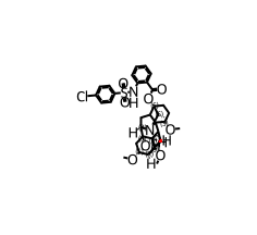 CO[C@H]1C[C@]2(O)[C@H]3CC4C5(C6C[C@H]1[C@H](OC)[C@@]62O)[C@@H](OC)CC[C@@]4(OC(=O)c1ccccc1NS(=O)(=O)c1ccc(Cl)cc1)[C@H](C)N35